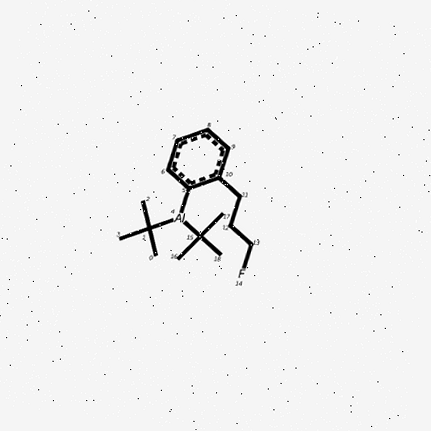 C[C](C)(C)[Al]([c]1ccccc1CCCF)[C](C)(C)C